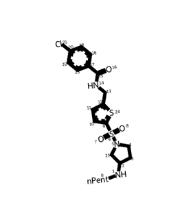 CCCCCNC1CCN(S(=O)(=O)c2ccc(CNC(=O)c3ccc(Cl)cc3)s2)C1